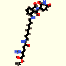 COC(=O)C[C@@H](N)CCC(=O)NCCCCCCCCNc1cccc2c1C(=O)N(C1CCC(=O)NC1=O)C2=O